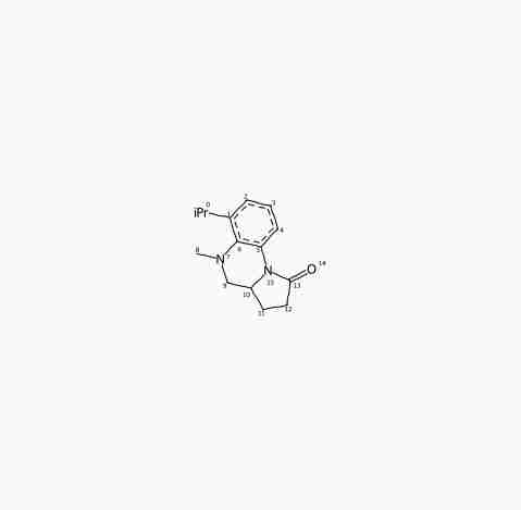 CC(C)c1cccc2c1N(C)CC1CCC(=O)N21